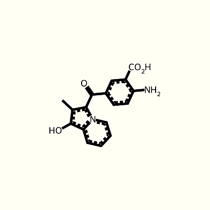 Cc1c(O)c2ccccn2c1C(=O)c1ccc(N)c(C(=O)O)c1